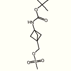 CC(C)(C)OC(=O)NC12CC(COS(C)(=O)=O)(C1)C2